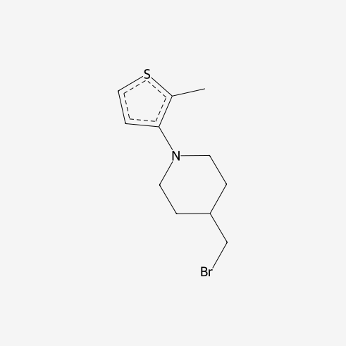 Cc1sccc1N1CCC(CBr)CC1